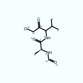 CC(C)C(NC(=O)[C@H](C)NC=O)C(=O)CCl